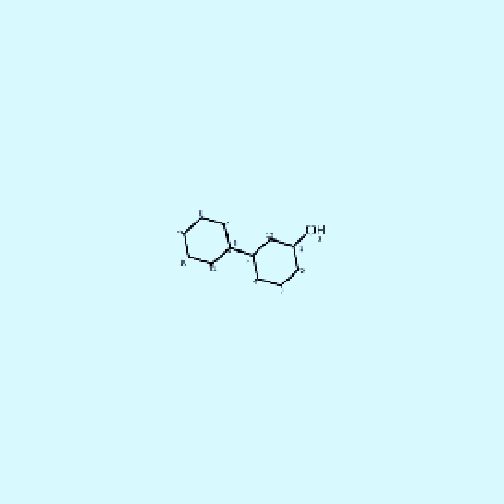 OC1CCCC([C]2CCCCC2)C1